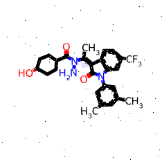 C/C(=C1/C(=O)N(c2cc(C)cc(C)c2)c2cc(C(F)(F)F)ccc21)N(N)C(=O)C1CCC(O)CC1